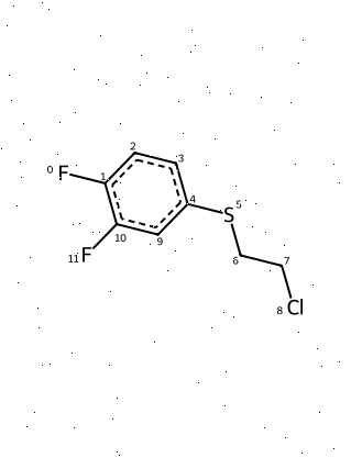 Fc1ccc(SCCCl)cc1F